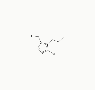 CCCc1c(CF)csc1Cl